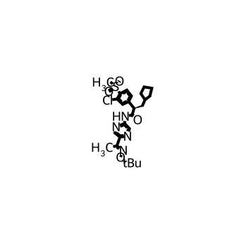 CC(=NOC(C)(C)C)c1cnc(NC(=O)[C@H](CC2CCCC2)c2ccc(S(C)(=O)=O)c(Cl)c2)cn1